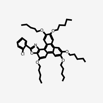 CCCCCOc1cc2c3cc(OCCCCC)c(OCCCCC)cc3c3c(cc(OCCCCC)c4oc(-c5ccccc5Cl)nc43)c2cc1OCCCCC